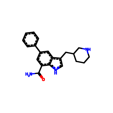 NC(=O)c1cc(-c2ccccc2)cc2c(CC3CCCNC3)c[nH]c12